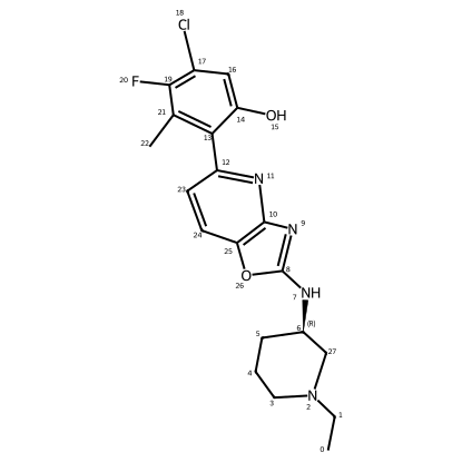 CCN1CCC[C@@H](Nc2nc3nc(-c4c(O)cc(Cl)c(F)c4C)ccc3o2)C1